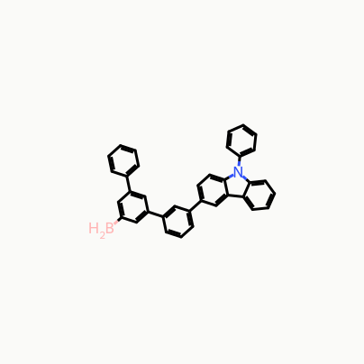 Bc1cc(-c2ccccc2)cc(-c2cccc(-c3ccc4c(c3)c3ccccc3n4-c3ccccc3)c2)c1